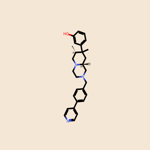 C[C@H]1CN2CCN(Cc3ccc(-c4ccncc4)cc3)C[C@H]2CC1(C)c1cccc(O)c1